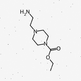 CCOC(=O)N1CCN(CCN)CC1